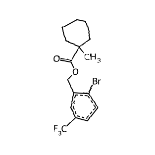 CC1(C(=O)OCc2cc(C(F)(F)F)ccc2Br)CCCCC1